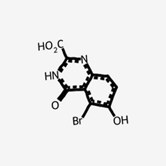 O=C(O)c1nc2ccc(O)c(Br)c2c(=O)[nH]1